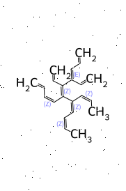 C=C\C=C/C(C(/C=C\C)=C\C=C/C)=C(C=C)/C(C=C)=C/C=C